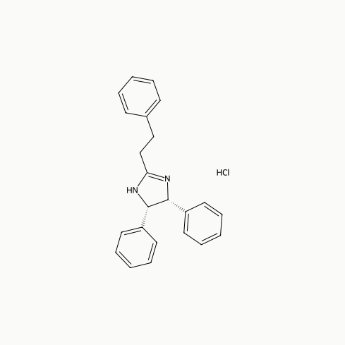 Cl.c1ccc(CCC2=N[C@H](c3ccccc3)[C@H](c3ccccc3)N2)cc1